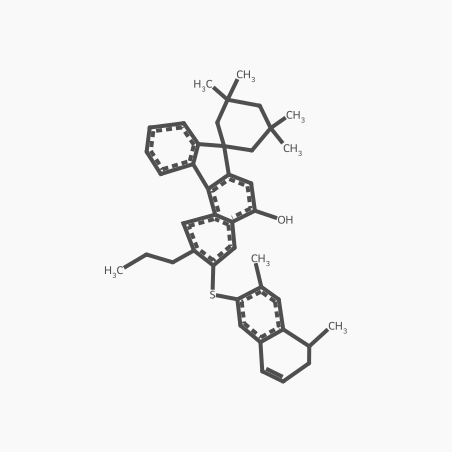 CCCc1cc2c3c(cc(O)c2cc1Sc1cc2c(cc1C)C(C)CC=C2)C1(CC(C)(C)CC(C)(C)C1)c1ccccc1-3